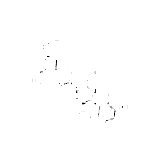 CO[C@@H]1C[C@@H](N)C2(CCN(c3nc(C)c(-c4cccc(Cl)c4Cl)nc3CO)CC2)C1